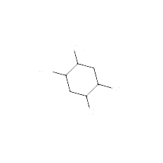 CC1CC(C(F)(F)F)C(C(F)(F)F)CC1C